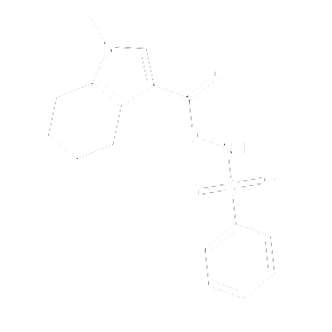 Cn1cc(C(=O)ONS(=O)(=O)c2ccccc2)c2c1CCCC2